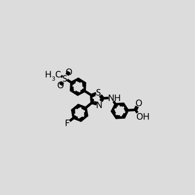 CS(=O)(=O)c1ccc(-c2sc(Nc3cccc(C(=O)O)c3)nc2-c2ccc(F)cc2)cc1